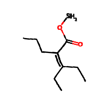 CCCC(C(=O)O[SiH3])=C(CC)CC